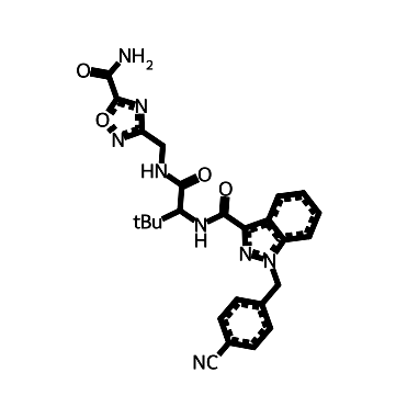 CC(C)(C)C(NC(=O)c1nn(Cc2ccc(C#N)cc2)c2ccccc12)C(=O)NCc1noc(C(N)=O)n1